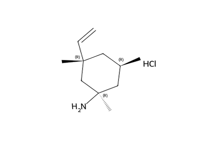 C=C[C@]1(C)C[C@@H](C)C[C@@](C)(N)C1.Cl